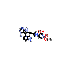 Cn1ncc2c(-c3c(C#CC4CN([C@@H]5CCN(C(=O)OC(C)(C)C)C[C@@H]5O)C4)n(C)c4ncnc(N)c34)cccc21